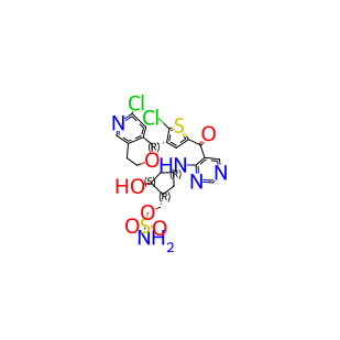 NS(=O)(=O)OC[C@H]1C[C@@H](Nc2ncncc2C(=O)c2cc([C@@H]3OCCc4cnc(Cl)cc43)c(Cl)s2)C[C@@H]1O